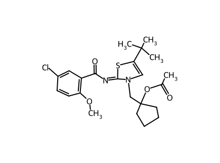 COc1ccc(Cl)cc1C(=O)N=c1sc(C(C)(C)C)cn1CC1(OC(C)=O)CCCC1